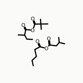 CCC(C)C(=O)OC(=O)C(C)(C)C.CCCCC(=O)OC(=O)CC(C)C